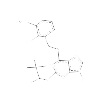 CCn1cnc2c(NCc3cccc(OC)c3O)nc(NC(C)C(C)(C)O)nc21